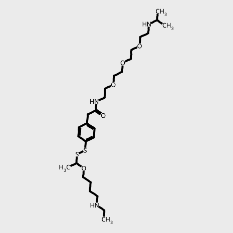 CCNCCCCOC(C)SSc1ccc(CC(=O)NCCOCCOCCOCCNC(C)C)cc1